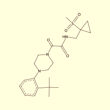 CC(C)(C)c1ccccc1N1CCN(C(=O)C(=O)NCC2(S(C)(=O)=O)CC2)CC1